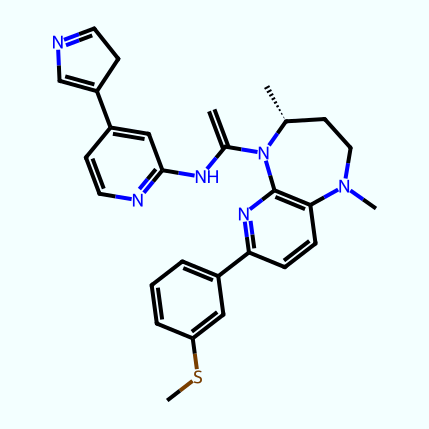 C=C(Nc1cc(C2=CN=CC2)ccn1)N1c2nc(-c3cccc(SC)c3)ccc2N(C)CC[C@H]1C